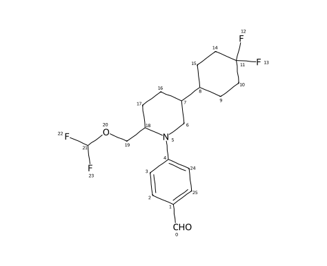 O=Cc1ccc(N2CC(C3CCC(F)(F)CC3)CCC2COC(F)F)cc1